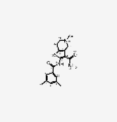 Cc1cc(C)cc(C(=O)Nc2sc3c(c2C(N)=O)CN(C)CC3)c1